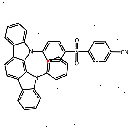 N#Cc1ccc(S(=O)(=O)c2ccc(-n3c4ccccc4c4ccc5c6ccccc6n(-c6ccccc6)c5c43)cc2)cc1